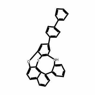 c1ccc(-c2ccc(-c3cc4c5c(c3)Oc3ccc6cccc(c6c3S5)-c3ccccc3N4)cc2)cc1